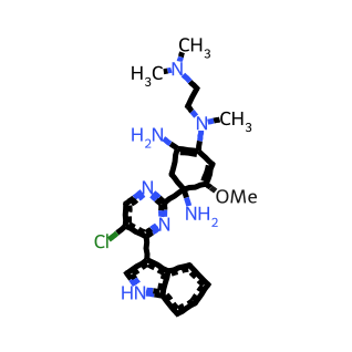 COC1=CC(N(C)CCN(C)C)=C(N)CC1(N)c1ncc(Cl)c(-c2c[nH]c3ccccc23)n1